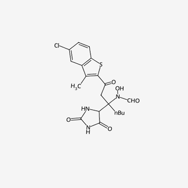 CCCCC(CC(=O)c1sc2ccc(Cl)cc2c1C)(C1NC(=O)NC1=O)N(O)C=O